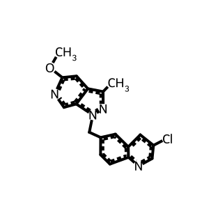 COc1cc2c(C)nn(Cc3ccc4ncc(Cl)cc4c3)c2cn1